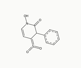 O=C1C(c2ccccc2)C(=S(=O)=O)C=CN1O